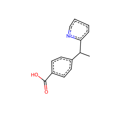 CC(c1ccc(C(=O)O)cc1)c1ccccn1